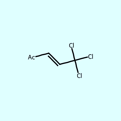 CC(=O)C=CC(Cl)(Cl)Cl